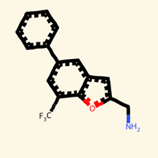 NCc1cc2cc(-c3cc[c]cc3)cc(C(F)(F)F)c2o1